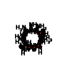 CSSC1NC(=O)[C@H](Cc2c[nH]c3ccccc23)NC(=O)[C@H](CCCCN)NC(=O)[C@H](CCCCN)NC(=O)[C@H](CCCCN)NC(=O)[C@H](C)NC(=O)[C@H](C)NC(=O)[C@H](CCc2c[nH]c3ccccc23)NC(=O)[C@H](Cc2c[nH]cn2)NC(=O)[C@@H](Cc2ccccc2)NC(=O)[C@H](Cc2c[nH]cn2)NC(=O)N(C)C1=O